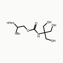 CCCCCCC(CCCC)COC(=O)NC(CO)(CO)CO